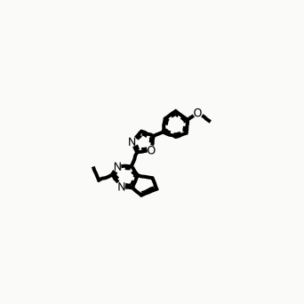 CCc1nc2c(c(-c3ncc(-c4ccc(OC)cc4)o3)n1)CC=C2